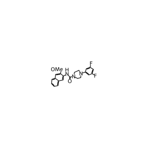 COc1cc2ccccc2cc1NC(=O)N1CCN(c2cc(F)cc(F)c2)CC1